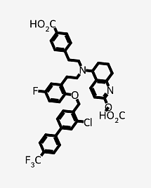 O=C(O)Oc1ccc2c(n1)CCCC2N(CCc1ccc(C(=O)O)cc1)CCc1cc(F)ccc1OCc1ccc(-c2ccc(C(F)(F)F)cc2)cc1Cl